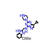 COc1cccc2[nH]c(CNc3nc(N4CCNCC4)nc4c(C5CC5)cnn34)nc12